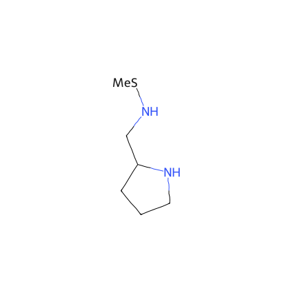 CSNCC1CCCN1